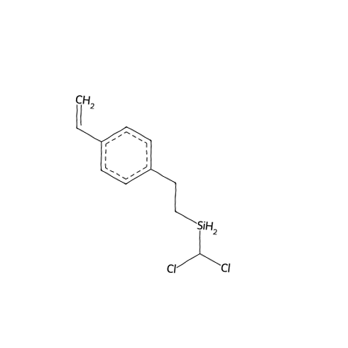 C=Cc1ccc(CC[SiH2]C(Cl)Cl)cc1